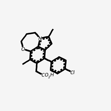 Cc1c(CC(=O)O)c(-c2ccc(Cl)cc2)c2cc(C)n3c2c1OCCC3